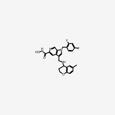 Cc1ccc2c(c1)C(NCc1cn(Cc3ccc(F)cc3F)c3cnc(C(=O)NO)cc13)CCO2